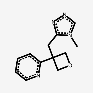 Cn1cnnc1CC1(c2ccccn2)COC1